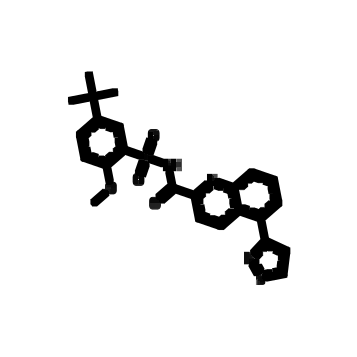 COc1ccc(C(C)(C)C)cc1S(=O)(=O)NC(=O)c1ccc2c(-c3ccsn3)cccc2n1